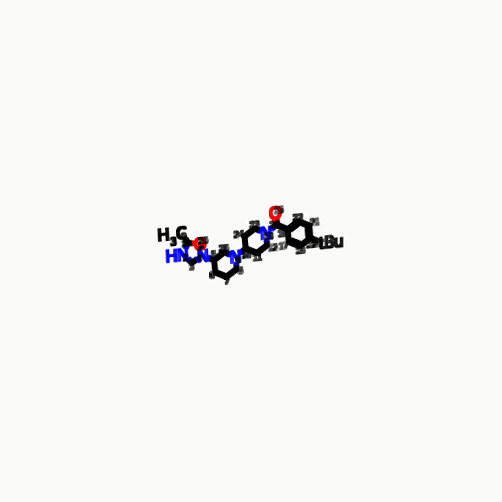 CC1NCN(C2CCCN(C3CCN(C(=O)c4ccc(C(C)(C)C)cc4)CC3)C2)O1